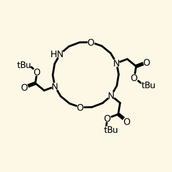 CC(C)(C)OC(=O)CN1CCNCCOCCN(CC(=O)OC(C)(C)C)CCN(CC(=O)OC(C)(C)C)CCOCC1